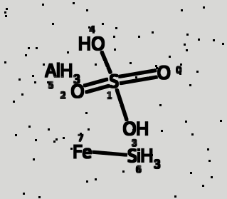 O=S(=O)(O)O.[AlH3].[SiH3][Fe]